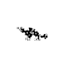 COC[C@H](OCc1cocn1)c1ccc(C(=O)NC2(c3cc(-c4cnn(C)c4)cc4nc(C)ccc34)CC2)c(C)c1